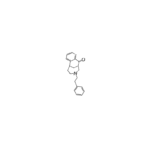 O=C1c2ccccc2C2CCN(CCc3ccccc3)CC1C2